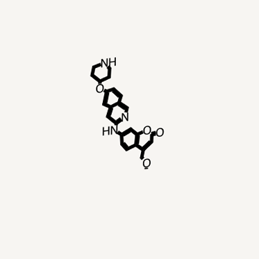 COCc1cc(=O)oc2cc(Nc3cc4cc(OC5CCNCC5)ccc4cn3)ccc12